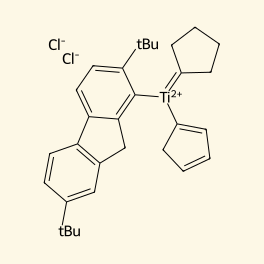 CC(C)(C)c1ccc2c(c1)Cc1c-2ccc(C(C)(C)C)[c]1[Ti+2]([C]1=CC=CC1)=[C]1CCCC1.[Cl-].[Cl-]